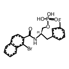 O=C(N[C@@H](COP(=O)(O)O)Cc1cccc(F)c1)c1ccc2ccccc2c1Br